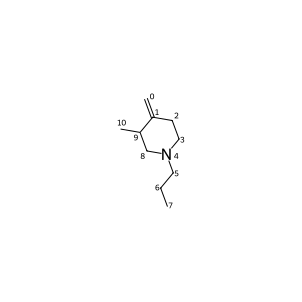 C=C1CCN(CCC)CC1C